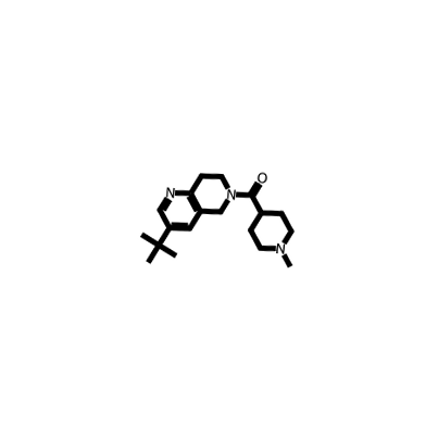 CN1CCC(C(=O)N2CCc3ncc(C(C)(C)C)cc3C2)CC1